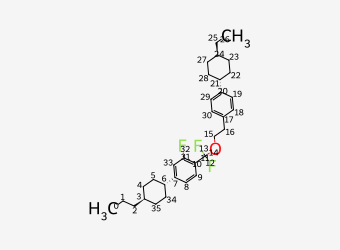 CCC[C@H]1CC[C@H](c2ccc(C(F)(F)OCCc3ccc([C@H]4CC[C@H](CC)CC4)cc3)c(F)c2)CC1